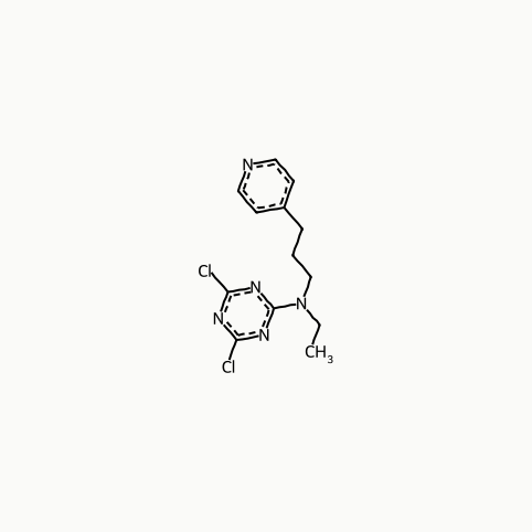 CCN(CCCc1ccncc1)c1nc(Cl)nc(Cl)n1